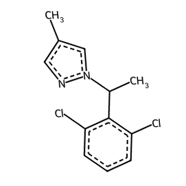 Cc1cnn(C(C)c2c(Cl)cccc2Cl)c1